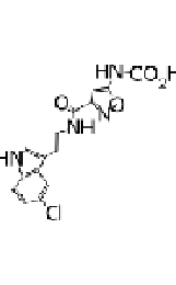 O=C(O)Nc1cc(C(=O)NCCc2c[nH]c3ccc(Cl)cc23)no1